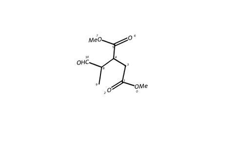 COC(=O)CC(C(=O)OC)C(C)C=O